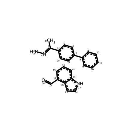 CC(=NN)c1ccc(-c2ccccc2)cc1.O=Cc1cccc2[nH]ccc12